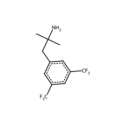 CC(C)(N)Cc1cc(C(F)(F)F)cc(C(F)(F)F)c1